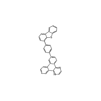 c1ccc2c(c1)sc1c(-c3ccc(-c4ccc5c(c4)c4ccccc4c4nccnc54)cc3)cccc12